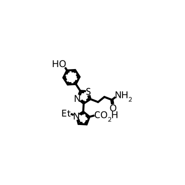 CCn1ccc(C(=O)O)c1-c1nc(-c2ccc(O)cc2)sc1CCC(N)=O